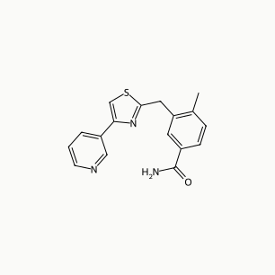 Cc1ccc(C(N)=O)cc1Cc1nc(-c2cccnc2)cs1